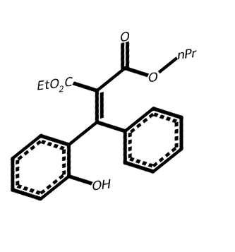 CCCOC(=O)C(C(=O)OCC)=C(c1ccccc1)c1ccccc1O